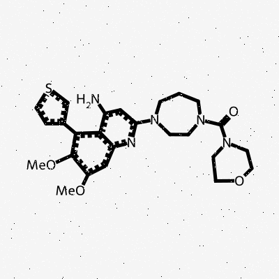 COc1cc2nc(N3CCCN(C(=O)N4CCOCC4)CC3)cc(N)c2c(-c2ccsc2)c1OC